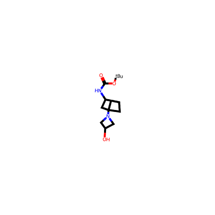 CC(C)(C)OC(=O)NC1CC2(N3CC(O)C3)CCC12